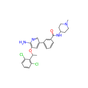 CC(Oc1cc(-c2cccc(C(=O)NC3CCN(C)CC3)c2)cnc1N)c1c(Cl)cccc1Cl